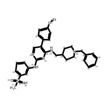 CCOc1ccc(-c2cnc(Nc3cccc(S(C)(=N)=O)c3)nc2NCC2CCN(Cc3ccccc3)CC2)cc1